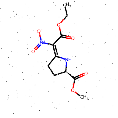 CCOC(=O)C(=C1CC[C@H](C(=O)OC)N1)[N+](=O)[O-]